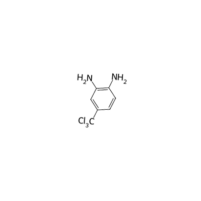 Nc1ccc(C(Cl)(Cl)Cl)cc1N